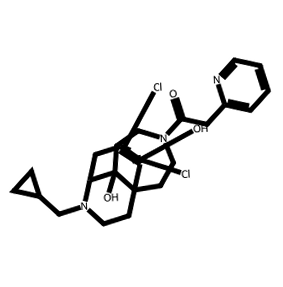 O=C(Cc1ccccn1)N1CCC23CCN(CC4CC4)C(Cc4cc(Cl)c(O)c(Cl)c42)C3(O)CC1